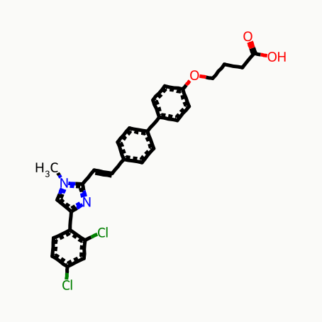 Cn1cc(-c2ccc(Cl)cc2Cl)nc1C=Cc1ccc(-c2ccc(OCCCC(=O)O)cc2)cc1